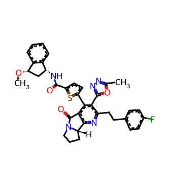 CO[C@H]1C[C@@H](NC(=O)c2ccc(-c3c4c(nc(CCc5ccc(F)cc5)c3-c3nnc(C)o3)[C@@H]3CCCN3C4=O)s2)c2ccccc21